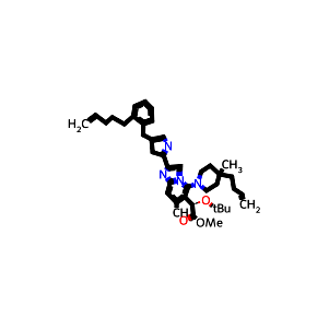 C=CCCCc1ccccc1CC1=CN=C(c2cn3c(N4CCC(C)(CCC=C)CC4)c([C@H](OC(C)(C)C)C(=O)OC)c(C)cc3n2)C1